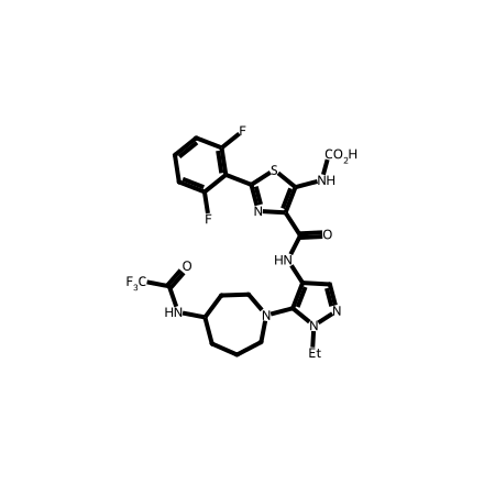 CCn1ncc(NC(=O)c2nc(-c3c(F)cccc3F)sc2NC(=O)O)c1N1CCCC(NC(=O)C(F)(F)F)CC1